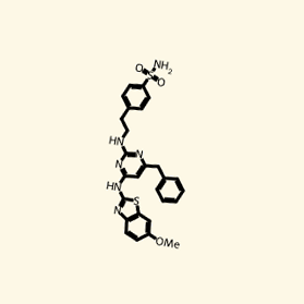 COc1ccc2nc(Nc3cc(Cc4ccccc4)nc(NCCc4ccc(S(N)(=O)=O)cc4)n3)sc2c1